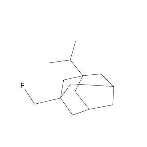 CC(C)C12CC3CC(CC(CF)(C3)C1)C2